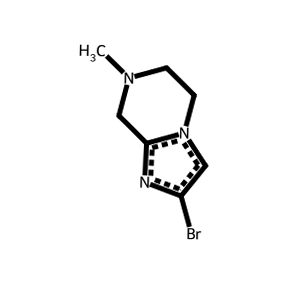 CN1CCn2cc(Br)nc2C1